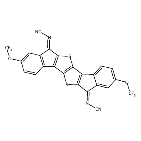 N#C/N=c1\c2cc(OC(F)(F)F)ccc2c2c1sc1c2sc2/c(=N/C#N)c3cc(OC(F)(F)F)ccc3c21